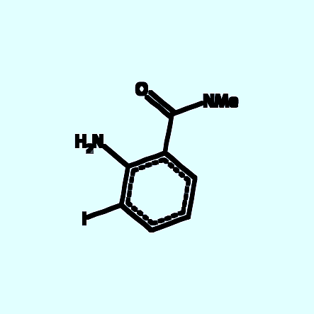 CNC(=O)c1cccc(I)c1N